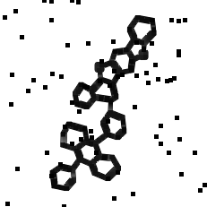 c1ccc(-c2c3ccccc3c(-c3cccc(-c4cc5c6cc7oc8ccccc8c7cc6oc5c5ccccc45)c3)c3ccccc23)cc1